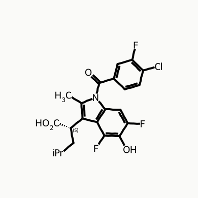 Cc1c([C@H](CC(C)C)C(=O)O)c2c(F)c(O)c(F)cc2n1C(=O)c1ccc(Cl)c(F)c1